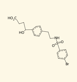 O=C(O)CCC(O)c1ccc(CCNS(=O)(=O)c2ccc(Br)cc2)cc1